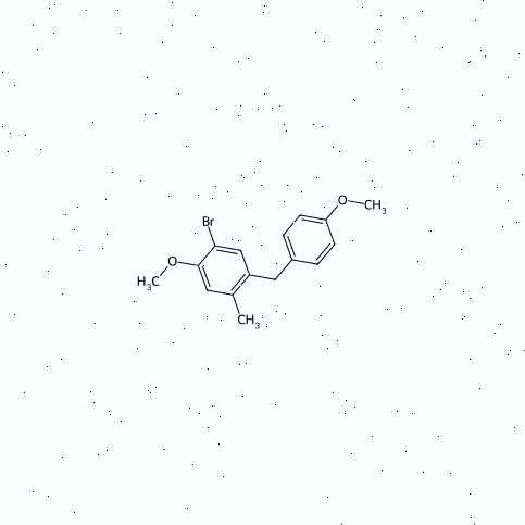 COc1ccc(Cc2cc(Br)c(OC)cc2C)cc1